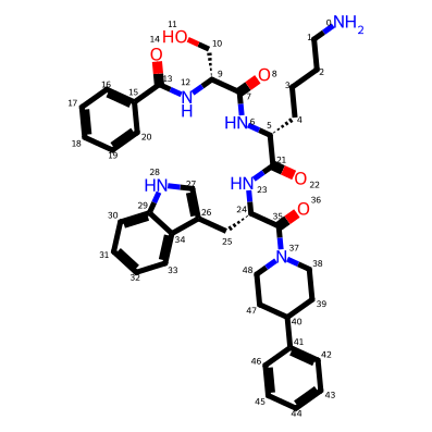 NCCCC[C@@H](NC(=O)[C@@H](CO)NC(=O)c1ccccc1)C(=O)N[C@@H](Cc1c[nH]c2ccccc12)C(=O)N1CCC(c2ccccc2)CC1